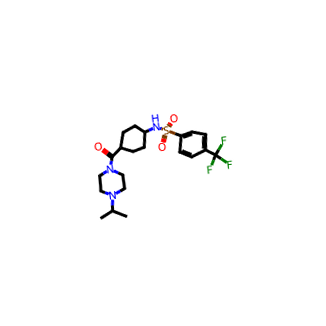 CC(C)N1CCN(C(=O)C2CCC(NS(=O)(=O)c3ccc(C(F)(F)F)cc3)CC2)CC1